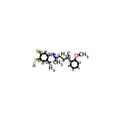 COc1ccccc1C(C)CC/C(C)=N/c1cc(F)c(SF)cc1C